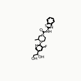 CC1CN(C(=O)Nc2nc3ccccc3s2)CCN1c1ncc([C@H](O)CO)cc1F